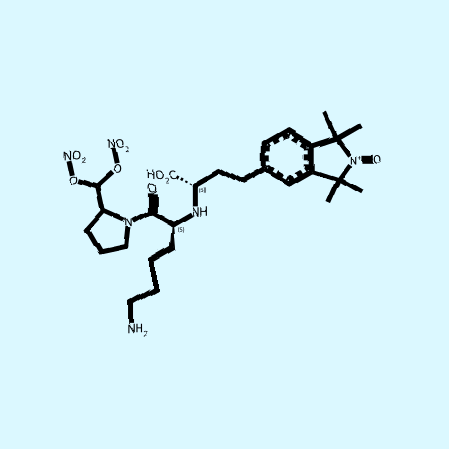 CC1(C)c2ccc(CC[C@H](N[C@@H](CCCCN)C(=O)N3CCCC3C(O[N+](=O)[O-])O[N+](=O)[O-])C(=O)O)cc2C(C)(C)[N+]1=O